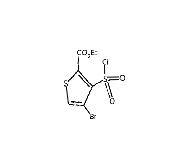 CCOC(=O)c1scc(Br)c1S(=O)(=O)Cl